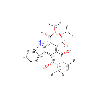 CC(C)OC(=O)c1c(C(=O)OC(C)C)c(C(=O)OC(C)C)c2c([nH]c3ccccc32)c1C(=O)OC(C)C